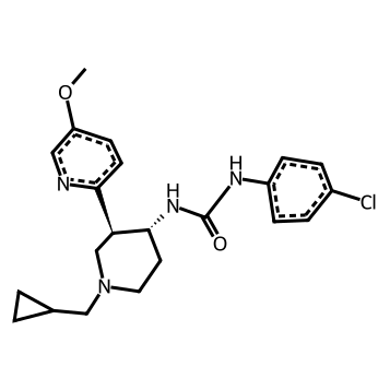 COc1ccc([C@@H]2CN(CC3CC3)CC[C@H]2NC(=O)Nc2ccc(Cl)cc2)nc1